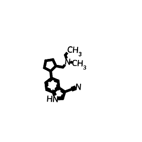 CCN(C)CC1CCCC1c1ccc2[nH]cc(C#N)c2c1